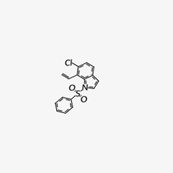 C=Cc1c(Cl)ccc2ccn(S(=O)(=O)c3ccccc3)c12